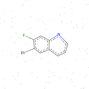 CCc1cc2cccnc2cc1F